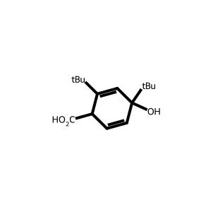 CC(C)(C)C1=CC(O)(C(C)(C)C)C=CC1C(=O)O